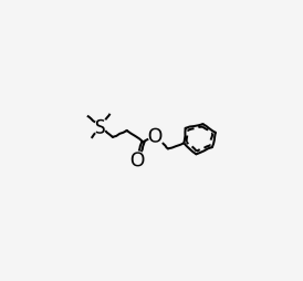 CS(C)(C)CCC(=O)OCc1ccccc1